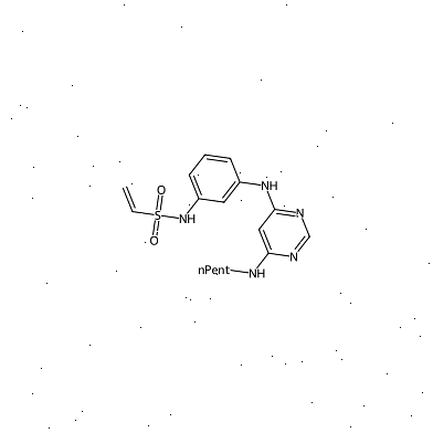 C=CS(=O)(=O)Nc1cccc(Nc2cc(NCCCCC)ncn2)c1